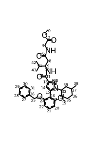 COC(=O)CNC(=O)CC(NC(=O)c1cc(-c2c(OC)cccc2OCc2ccccc2)n(C2CCCC(C)C2)n1)C(C)C